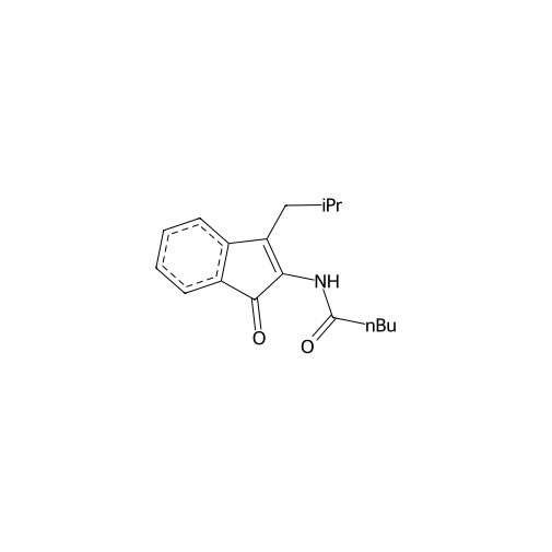 CCCCC(=O)NC1=C(CC(C)C)c2ccccc2C1=O